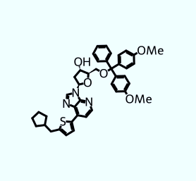 COc1ccc(C(OC[C@H]2O[C@@H](n3cnc4c(-c5ccc(CC6CCCC6)s5)ccnc43)C[C@@H]2O)(c2ccccc2)c2ccc(OC)cc2)cc1